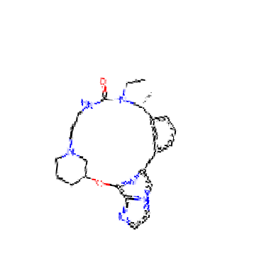 CCN1C(=O)NCCN2CCCC(C2)Oc2nc(cn3ccnc23)-c2cccc(c2)[C@H]1C